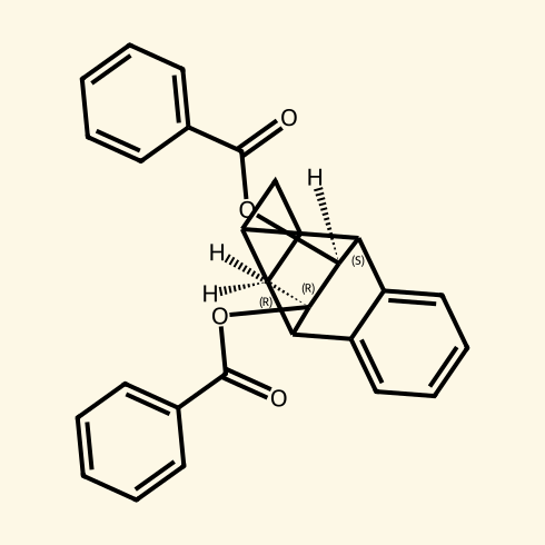 O=C(O[C@@H]1C2c3ccccc3C([C@@H]1OC(=O)c1ccccc1)C13CC1[C@H]23)c1ccccc1